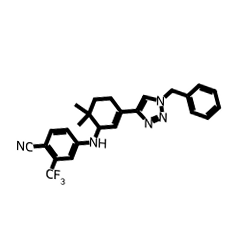 CC1(C)CCC(c2cn(Cc3ccccc3)nn2)=CC1Nc1ccc(C#N)c(C(F)(F)F)c1